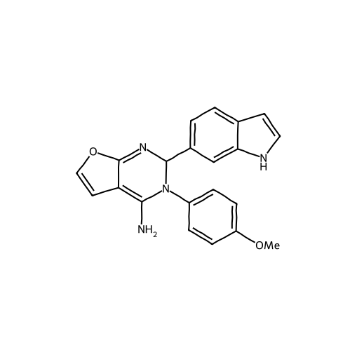 COc1ccc(N2C(N)=c3ccoc3=NC2c2ccc3cc[nH]c3c2)cc1